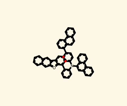 c1ccc(N(c2ccc(-c3cccc4c3ccc3ccccc34)cc2)c2cc3ccccc3c3ccccc23)c(-c2cccc3c2oc2cc4ccccc4cc23)c1